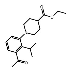 CCOC(=O)C1CCN(c2cccc(C(C)=O)c2C(C)C)CC1